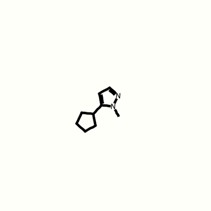 Cn1nccc1C1CCCC1